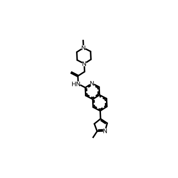 C=C(CN1CCN(C)CC1)Nc1cc2cc(C3=CN=C(C)C3)ccc2cn1